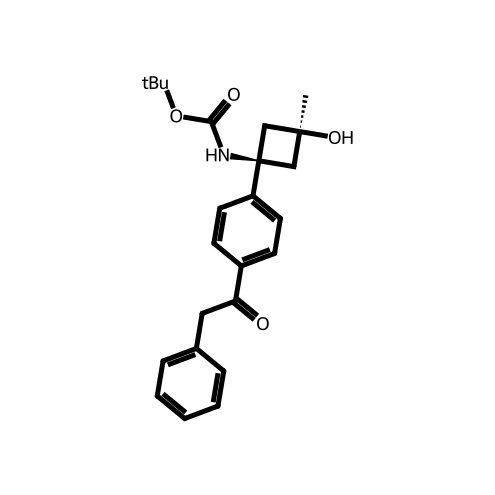 CC(C)(C)OC(=O)N[C@]1(c2ccc(C(=O)Cc3ccccc3)cc2)C[C@](C)(O)C1